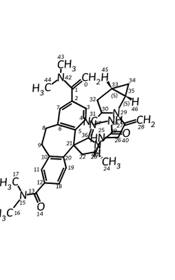 C=C(c1ccc2c(c1)CCc1cc(C(=O)N(C)C)ccc1C2(C[C@@H](C)NCC(=C)N1C(C#N)C[C@@H]2C[C@@H]21)c1n[nH]c(=O)[nH]1)N(C)C